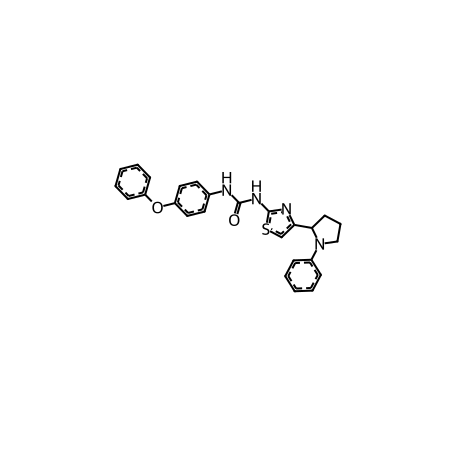 O=C(Nc1ccc(Oc2ccccc2)cc1)Nc1nc(C2CCCN2c2ccccc2)cs1